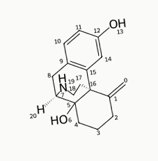 C=C1CCCC2(O)[C@H]3Cc4ccc(O)cc4[C@@]12CCN3